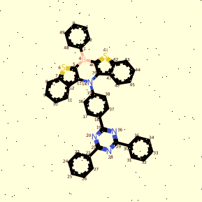 c1ccc(B2c3sc4ccccc4c3N(c3ccc(-c4nc(-c5ccccc5)nc(-c5ccccc5)n4)cc3)c3c2sc2ccccc32)cc1